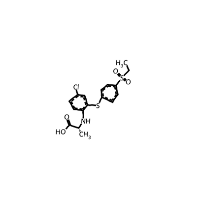 CCS(=O)(=O)c1ccc(Sc2cc(Cl)ccc2N[C@H](C)C(=O)O)cc1